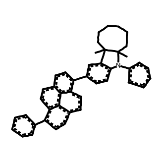 CC12CCCCCCC1(C)N(c1ccccc1)c1ccc(-c3ccc4ccc5c(-c6ccccc6)ccc6ccc3c4c65)cc12